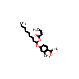 C/C=C\C(=O)OC(CCCCCCCC)Oc1ccc(C(C)=O)c(C)c1